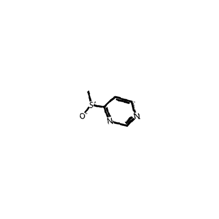 C[S+]([O-])c1c[c]ncn1